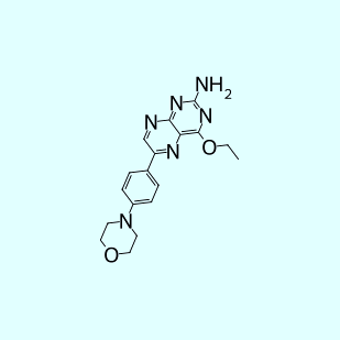 CCOc1nc(N)nc2ncc(-c3ccc(N4CCOCC4)cc3)nc12